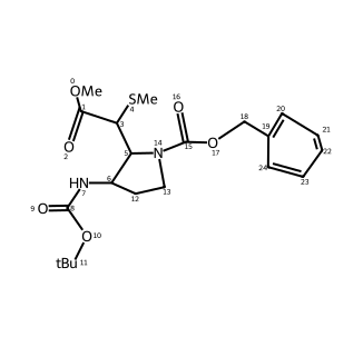 COC(=O)C(SC)C1C(NC(=O)OC(C)(C)C)CCN1C(=O)OCc1ccccc1